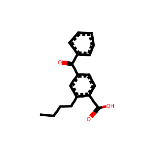 CCCCc1cc(C(=O)c2ccccc2)ccc1C(=O)O